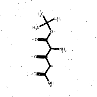 CC(C)(C)OC(=O)C(N)C(=O)CC(=O)O